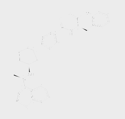 COC(=O)[C@@H](Cc1ccccc1)NC(=O)c1ccc([C@H]2CCC[C@H](N[C@H](C)c3cccc4ccccc34)C2)cc1